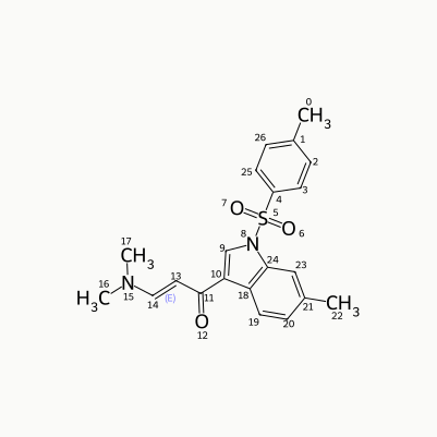 Cc1ccc(S(=O)(=O)n2cc(C(=O)/C=C/N(C)C)c3ccc(C)cc32)cc1